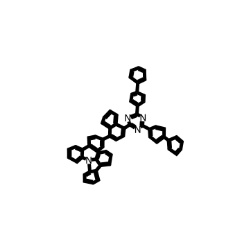 c1ccc(-c2ccc(-c3nc(-c4ccc(-c5ccccc5)cc4)nc(-c4ccc(-c5ccc(-c6ccccc6-n6c7ccccc7c7ccccc76)cc5)c5ccccc45)n3)cc2)cc1